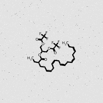 CC/C=C\C/C=C\C/C=C\C/C=C\C/C=C\CCC(CC)C(=O)OC(COC(=O)C(F)(F)F)COC(=O)C(F)(F)F